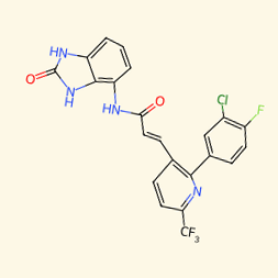 O=C(/C=C/c1ccc(C(F)(F)F)nc1-c1ccc(F)c(Cl)c1)Nc1cccc2[nH]c(=O)[nH]c12